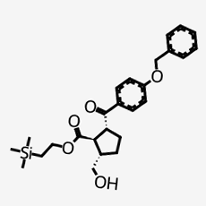 C[Si](C)(C)CCOC(=O)[C@@H]1[C@@H](CO)CC[C@H]1C(=O)c1ccc(OCc2ccccc2)cc1